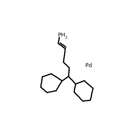 PC=CCCC(C1CCCCC1)C1CCCCC1.[Pd]